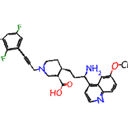 COc1ccc2nccc([C@H](N)CC[C@@H]3CCN(CC#Cc4cc(F)cc(F)c4F)C[C@@H]3C(=O)O)c2c1